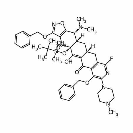 CN1CCN(c2nc(F)c3c(c2OCc2ccccc2)C(=O)C2=C(O)[C@]4(O[Si](C)(C)C(C)(C)C)C(=O)c5c(OCc6ccccc6)noc5[C@@H](N(C)C)[C@@H]4C[C@@H]2C3)CC1